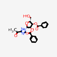 CC(=O)c1ncn([C@@H]2O[C@H](CO)[C@@H](OC(=O)c3ccccc3)[C@H]2OC(=O)c2ccccc2)n1